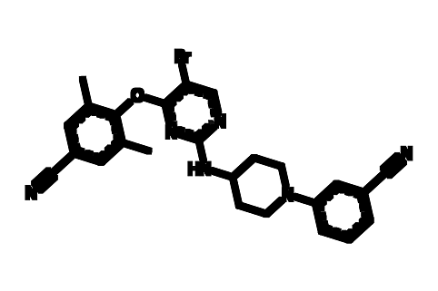 Cc1cc(C#N)cc(C)c1Oc1nc(NC2CCN(c3cccc(C#N)c3)CC2)ncc1Br